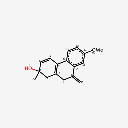 C=C1CC2=C(C=CC(C)(O)C2)c2ccc(OC)cc21